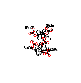 CCC(COC(=O)OCC(CC)(C(C)(C)OC(=O)OOCC(C)C)C(C)(C)OC(=O)OOCC(C)C)(C(C)(C)OC(=O)OOCC(C)C)C(C)(C)OC(=O)OOCC(C)C